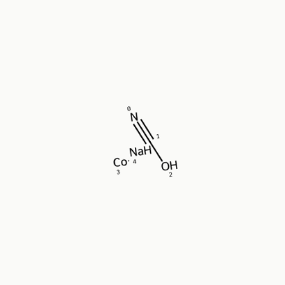 N#CO.[Co].[NaH]